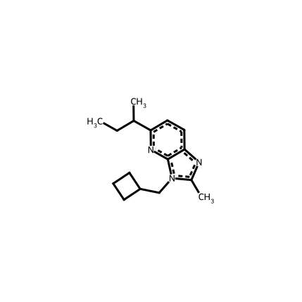 CCC(C)c1ccc2nc(C)n(CC3CCC3)c2n1